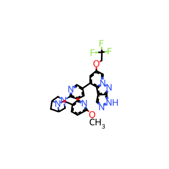 COc1ccc(CN2C3CC2CN(c2ccc(-c4cc(OCC(F)(F)F)cn5nc6[nH]ncc6c45)cn2)C3)cn1